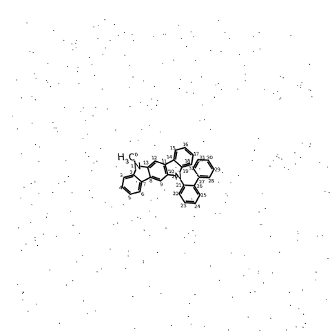 Cn1c2ccccc2c2cc3c(cc21)c1ccccc1n3-c1ccccc1-c1ccccc1